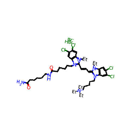 Br.CCN1C(=CC=CC2N(CC)c3cc(Cl)c(Cl)cc3N2CCCCCC(=O)NCCCCCC(N)=O)N(CCCCC[N+](CC)(CC)CC)c2cc(Cl)c(Cl)cc21.[Br-]